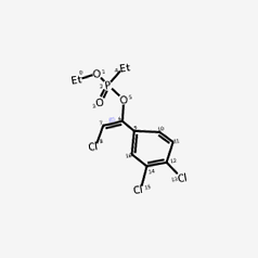 CCOP(=O)(CC)O/C(=C/Cl)c1ccc(Cl)c(Cl)c1